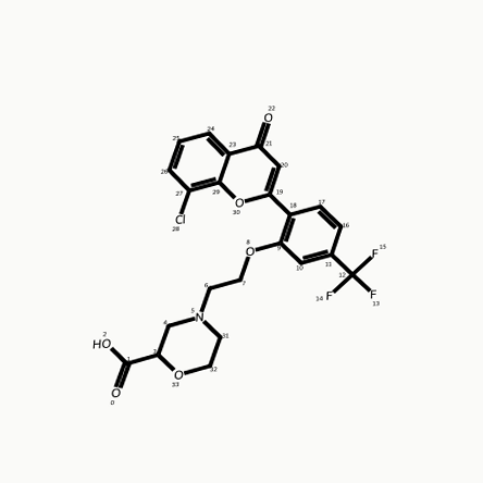 O=C(O)C1CN(CCOc2cc(C(F)(F)F)ccc2-c2cc(=O)c3cccc(Cl)c3o2)CCO1